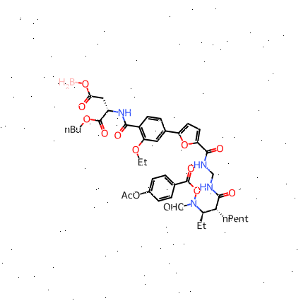 BOC(=O)C[C@H](NC(=O)c1ccc(-c2ccc(C(=O)NCNC(=O)[C@H](CCCCC)[C@@H](CC)N(C=O)OC(=O)c3ccc(OC(C)=O)cc3)o2)cc1OCC)C(=O)OCCCC